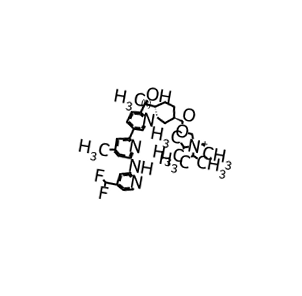 CC[N+](COC(=O)[C@H]1CC[C@H]([C@@](C)(O)c2ccc(-c3cc(C)cc(Nc4cc(C(F)F)ccn4)n3)cn2)CC1)(C(C)C)C(C)C